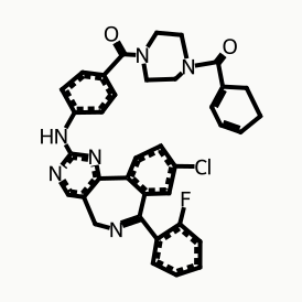 O=C(C1=CC=CCC1)N1CCN(C(=O)c2ccc(Nc3ncc4c(n3)-c3ccc(Cl)cc3C(c3ccccc3F)=NC4)cc2)CC1